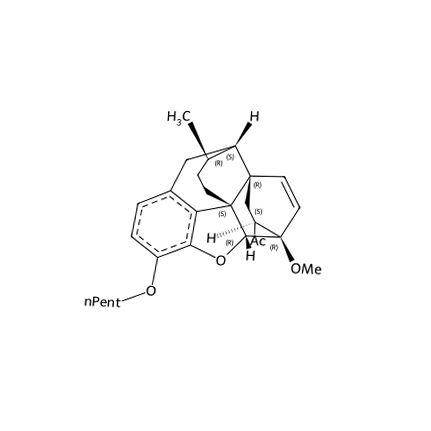 CCCCCOc1ccc2c3c1O[C@H]1[C@@]4(OC)C=C[C@@]5(C[C@@H]4C(C)=O)[C@@H](C2)[C@H](C)CC[C@]315